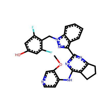 COc1cnccc1Nc1nc(-c2nn(Cc3c(F)cc(O)cc3F)c3ccccc23)nc2c1CCC2